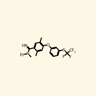 CCN(C)C(=N)c1cc(C)c(Oc2cccc(SC(F)(F)C(F)(F)F)c2)cc1C